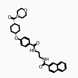 O=C(NCCNC(=O)c1ccc2ccccc2c1)c1ccc(O[C@H]2CC[C@@H](C(=O)N3CCOCC3)CC2)cc1